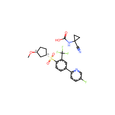 CO[C@H]1CC[C@H](S(=O)(=O)c2ccc(-c3ccc(F)cn3)cc2C(F)(F)F)C1.N#CC1(NC(=O)O)CC1